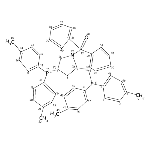 Cc1ccc(P(C[C@@H]2C[C@H](P(c3ccc(C)cc3)c3ccc(C)cc3)CN2P(=O)(c2ccccc2)c2ccccc2)c2ccc(C)cc2)cc1